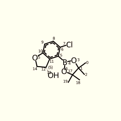 CC1(C)OB(c2c(Cl)ccc3c2[C@H](O)CO3)OC1(C)C